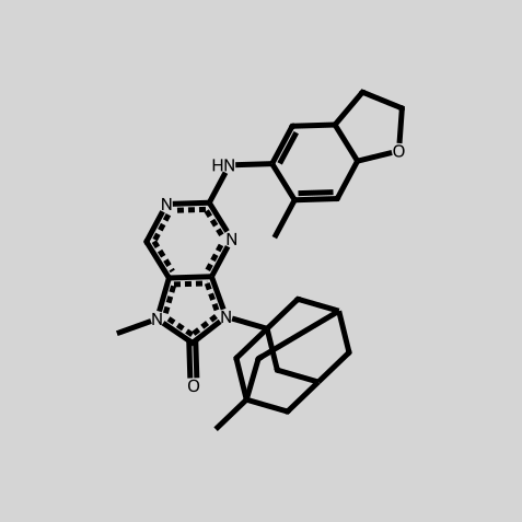 CC1=CC2OCCC2C=C1Nc1ncc2c(n1)n(C13CC4CC(CC(C)(C4)C1)C3)c(=O)n2C